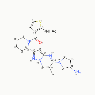 CC(=O)Nc1sccc1C(=O)N1CCCC[C@H]1c1cc2nc(N3CCC(N)C3)c(C)cn2n1